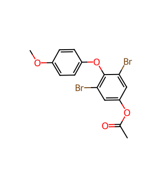 COc1ccc(Oc2c(Br)cc(OC(C)=O)cc2Br)cc1